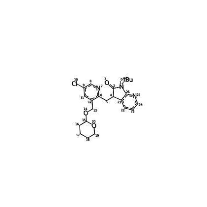 CC(C)(C)N1C(=O)C(Cc2ncc(Cl)cc2COC2CCCCO2)c2cccnc21